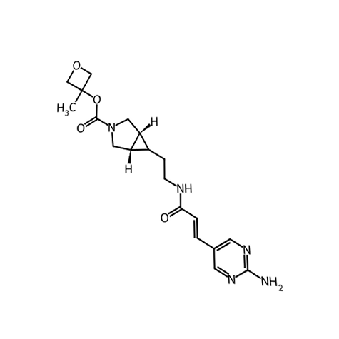 CC1(OC(=O)N2C[C@@H]3C(CCNC(=O)/C=C/c4cnc(N)nc4)[C@@H]3C2)COC1